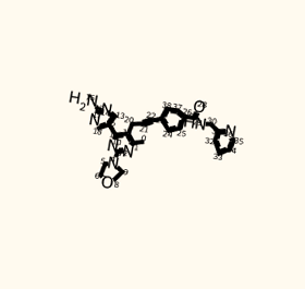 Cc1nc(N2CCOCC2)nc(-c2cnc(N)nc2)c1CC#Cc1ccc(C(=O)NCc2ccccn2)cc1